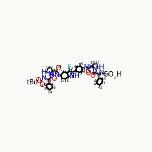 CC(C)(C)OC(=O)N[C@@H](C(=O)N1CCC[C@H]1C(=O)Nc1ccc2[nH]c(-c3ccc(NC(=O)[C@@H]4CCCN4C(=O)[C@H](NC(=O)O)c4ccccc4)cc3)c(F)c2c1)c1ccccc1